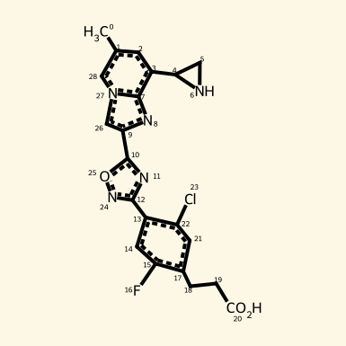 Cc1cc(C2CN2)c2nc(-c3nc(-c4cc(F)c(CCC(=O)O)cc4Cl)no3)cn2c1